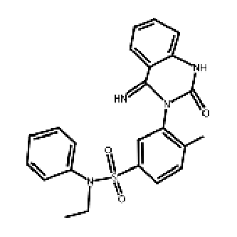 CCN(c1ccccc1)S(=O)(=O)c1ccc(C)c(-n2c(=O)[nH]c3ccccc3c2=N)c1